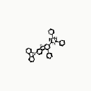 c1ccc(-c2nc(-c3ccccc3)nc(-c3cc(-c4ccccc4)c4c(c3)sc3cc(-n5c6ccccc6c6ccccc65)ccc34)n2)cc1